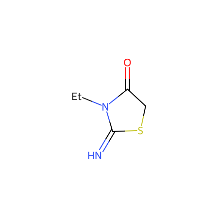 CCN1C(=N)SCC1=O